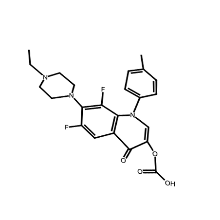 CCN1CCN(c2c(F)cc3c(=O)c(OC(=O)O)cn(-c4ccc(C)cc4)c3c2F)CC1